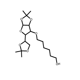 CC1(C)OCC(C2OC3OC(C)(C)OC3C2OCCCCCCO)O1